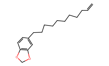 C=CCCCCCCCCCc1ccc2c(c1)OCO2